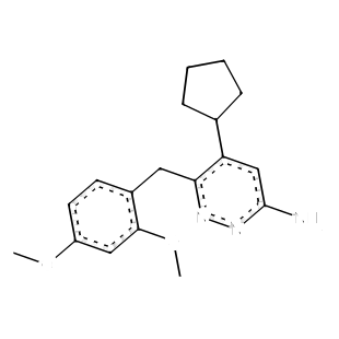 COc1ccc(Cc2nnc(N)cc2C2CCCC2)c(OC)c1